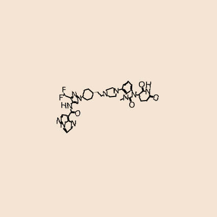 Cn1c(=O)n(C2CCC(=O)NC2=O)c2cccc(N3CCN(CC[C@H]4CC[C@H](n5cc(NC(=O)c6cnn7cccnc67)c(C(F)F)n5)CC4)CC3)c21